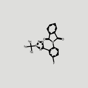 [2H]C([2H])([2H])n1nnc(-c2cc(F)ccc2N2C(=O)c3ccccc3C2=O)n1